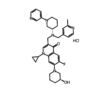 Cc1cc(CN(Cc2cn(C3CC3)c3cc(N4CCC[C@H](O)C4)c(F)cc3c2=O)[C@H]2CCCN(c3cccnc3)C2)ccn1.Cl